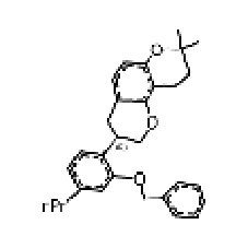 CCCc1ccc([C@@H]2COc3c(ccc4c3CCC(C)(C)O4)C2)c(OCc2ccccc2)c1